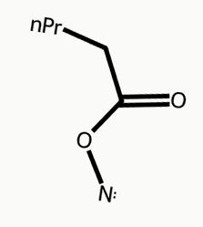 CCCCC(=O)O[N]